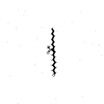 CCCCCCCC/C(=C/CCCCCCCC=O)[N+](=O)[O-]